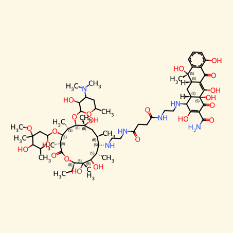 CC[C@H]1OC(=O)[C@H](C)[C@@H](OC2CC(C)(OC)C(O)C(C)O2)[C@H](C)[C@@H](OC2OC(C)CC(N(C)C)C2O)[C@](C)(O)C[C@@H](C)[C@H](NCCNC(=O)CCC(=O)NCCNC2C(O)=C(C(N)=O)C(=O)[C@@]3(O)C(O)=C4C(=O)c5c(O)cccc5[C@@](C)(O)[C@H]4C[C@@H]23)[C@H](C)[C@@H](O)[C@]1(C)O